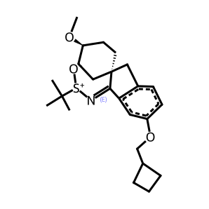 CO[C@H]1CC[C@]2(CC1)Cc1ccc(OCC3CCC3)cc1/C2=N/[S+]([O-])C(C)(C)C